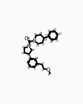 COCCc1cccc([C@H]2CCN(C(=O)N3CCC(c4ccccc4)CC3)C2)c1